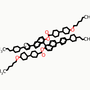 CCCCCCOC1CCC(C2CCC(C(=O)Oc3ccc4cc(-c5ccc(C6CCC(CCC)CC6)cc5)ccc4c3-c3c(OC(=O)C4CCC(C5CCC(OCCCCCC)CC5)CC4)ccc4cc(-c5ccc(C6CCC(CCC)CC6)cc5)ccc34)CC2)CC1